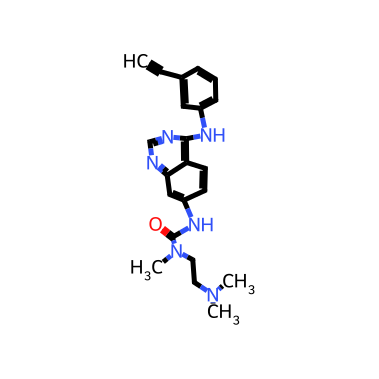 C#Cc1cccc(Nc2ncnc3cc(NC(=O)N(C)CCN(C)C)ccc23)c1